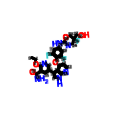 CCOc1ncc(-c2c[nH]c3nccc(Oc4c(F)cc(NC5=NCC(F)(CO)CO5)cc4F)c23)cc1C(N)=O